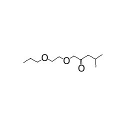 CCCOCCOCC(=O)CC(C)C